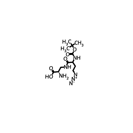 CC(C)(C)OC(=O)NC(CCN=[N+]=[N-])C(=O)NC[C@H](N)C(=O)O